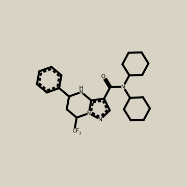 O=C(c1cnn2c1NC(c1ccccc1)CC2C(F)(F)F)N(C1CCCCC1)C1CCCCC1